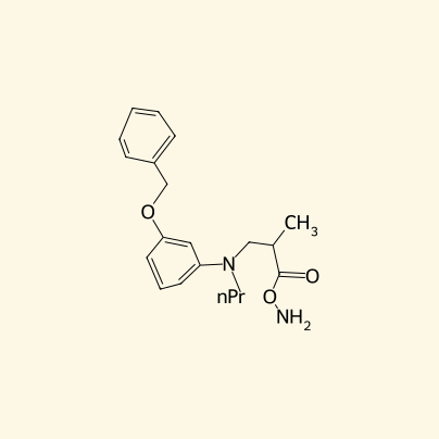 CCCN(CC(C)C(=O)ON)c1cccc(OCc2ccccc2)c1